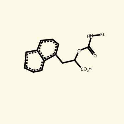 CCNC(=O)OC(Cc1cccc2ccccc12)C(=O)O